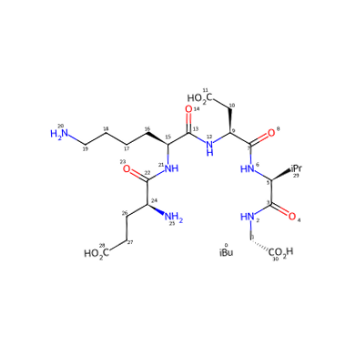 CC[C@H](C)[C@H](NC(=O)[C@@H](NC(=O)[C@H](CC(=O)O)NC(=O)[C@H](CCCCN)NC(=O)[C@@H](N)CCC(=O)O)C(C)C)C(=O)O